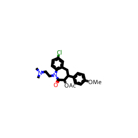 COc1ccc(C2Cc3cc(Cl)ccc3N(CCN(C)C)C(=O)C2OC(C)=O)cc1